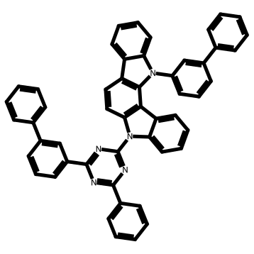 c1ccc(-c2cccc(-c3nc(-c4ccccc4)nc(-n4c5ccccc5c5c4ccc4c6ccccc6n(-c6cccc(-c7ccccc7)c6)c45)n3)c2)cc1